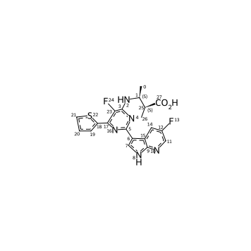 C[C@H](Nc1nc(-c2c[nH]c3ncc(F)cc23)nc(-c2cccs2)c1F)[C@H](C)C(=O)O